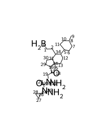 BCCC1C(C2CCC(C)CC2)CCC2(C)C(C(=O)CN(N)C(=O)N(N)C3CC3)CCC12